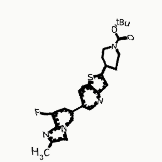 Cc1cn2cc(-c3cnc4cc(C5CCN(C(=O)OC(C)(C)C)CC5)sc4c3)cc(F)c2n1